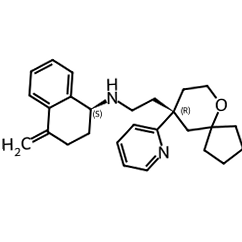 C=C1CC[C@H](NCC[C@@]2(c3ccccn3)CCOC3(CCCC3)C2)c2ccccc21